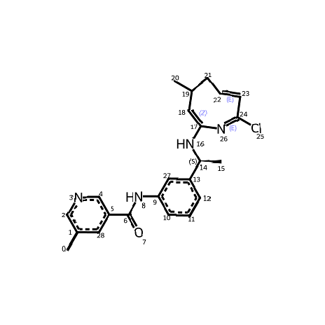 Cc1cncc(C(=O)Nc2cccc([C@H](C)NC3=C/C(C)C/C=C/C(Cl)=N\3)c2)c1